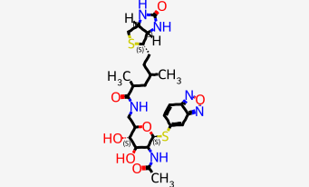 CC(=O)NC1C(O)[C@H](O)C(CNC(=O)C(C)CC(C)CC[C@@H]2SC[C@@H]3NC(=O)N[C@@H]32)O[C@H]1Sc1ccc2nonc2c1